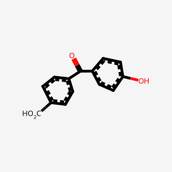 O=C(O)c1ccc(C(=O)c2ccc(O)cc2)cc1